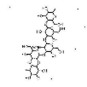 CC(=O)NC1C(OC2C(O)C(CO)OC(OC3C(CO)OC(C)C(O)C3O)C2O)OC(CO)C(O)C1OC1OC(CO)C(O)C(O)C1OC1OC(C)C(O)C(O)C1O